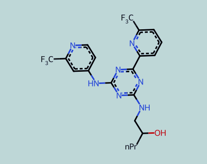 CCCC(O)CNc1nc(Nc2ccnc(C(F)(F)F)c2)nc(-c2cccc(C(F)(F)F)n2)n1